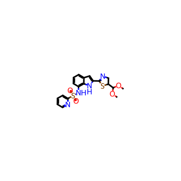 COC(OC)C1CN=C(c2cc3cccc(NS(=O)(=O)c4ccccn4)c3[nH]2)S1